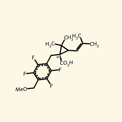 COCc1c(F)c(F)c(C[C@@]2(C(=O)O)C(C=C(C)C)C2(C)C)c(F)c1F